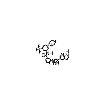 Cc1ccc(C(=O)NC2=CC(C(F)(F)F)=CCC(N3CCN(C)CC3)=C2)cc1-n1cc(-c2cnc3[nH]ccc3c2)nn1